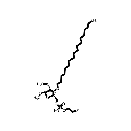 CCCCCCCCCCCCCCCCCCO[C@@H]1[C@@H](OC)[C@H](OC)O[C@@H]1COP(=O)(O)OCCBr